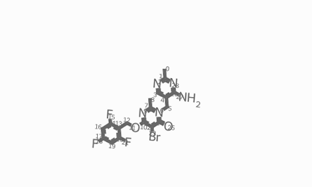 Cc1ncc(Cn2c(C)nc(OCc3c(F)cc(F)cc3F)c(Br)c2=O)c(N)n1